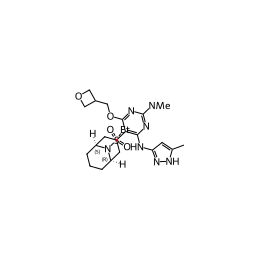 CCS(=O)(=O)N1[C@@H]2CCC[C@H]1CC(c1c(Nc3cc(C)[nH]n3)nc(NC)nc1OCC1COC1)C2